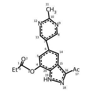 CCC(=O)Oc1cc(-c2cnc(C)nc2)cc2c(C(C)=O)n[nH]c12